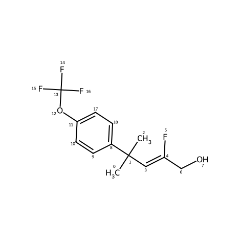 CC(C)(/C=C(\F)CO)c1ccc(OC(F)(F)F)cc1